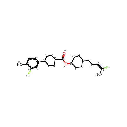 N#C/C(F)=C\CCC1CCC(OC(=O)C2CCC(c3ccc(C#N)c(F)c3)CC2)CC1